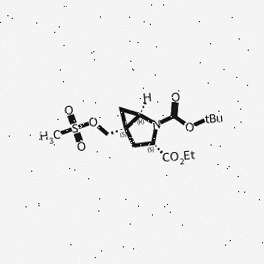 CCOC(=O)[C@@H]1C[C@@]2(COS(C)(=O)=O)C[C@H]2N1C(=O)OC(C)(C)C